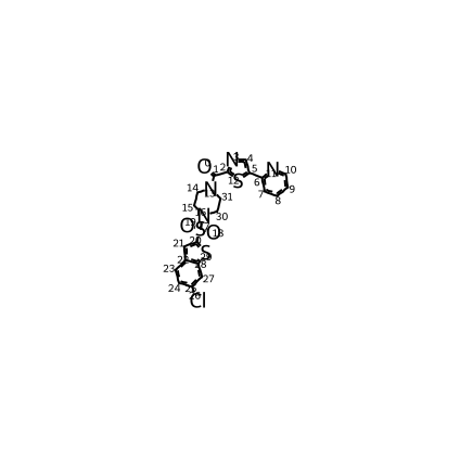 O=C(c1ncc(-c2ccccn2)s1)N1CCN(S(=O)(=O)c2cc3ccc(Cl)cc3s2)CC1